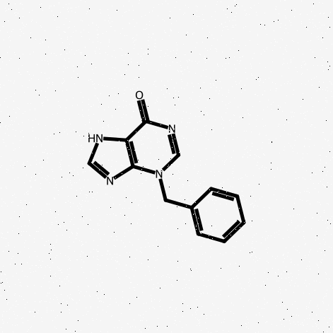 O=c1ncn(Cc2ccccc2)c2nc[nH]c12